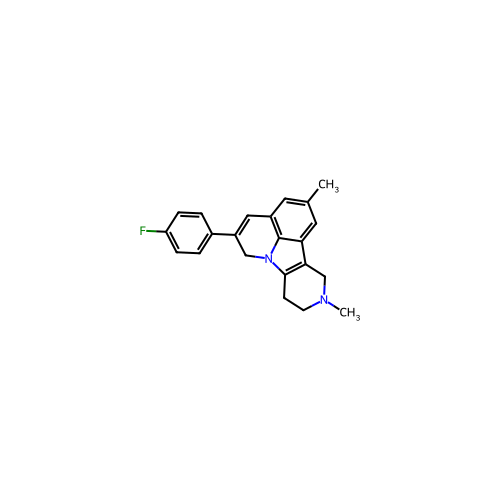 Cc1cc2c3c(c1)c1c(n3CC(c3ccc(F)cc3)=C2)CCN(C)C1